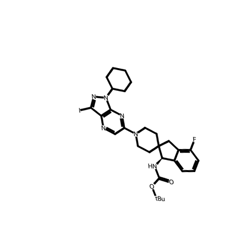 CC(C)(C)OC(=O)N[C@@H]1c2cccc(F)c2CC12CCN(c1cnc3c(I)nn(C4CCCCC4)c3n1)CC2